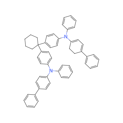 C1=C(c2ccccc2)CCC(N(c2ccccc2)c2ccc(C3(c4ccc(N(c5ccccc5)c5ccc(-c6ccccc6)cc5)cc4)CCCCC3)cc2)=C1